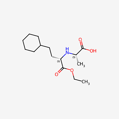 CCOC(=O)[C@H](CCC1CCCCC1)N[C@@H](C)C(=O)O